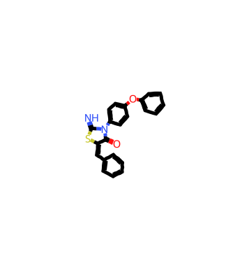 N=C1SC(=Cc2ccccc2)C(=O)N1c1ccc(Oc2ccccc2)cc1